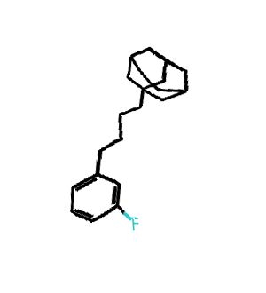 Fc1cccc(CCCCC23CC4CC(CC(C4)C2)C3)c1